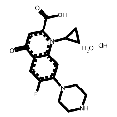 Cl.O.O=C(O)c1cc(=O)c2cc(F)c(N3CCNCC3)cc2n1C1CC1